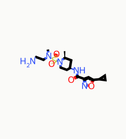 C[C@H]1C[C@@H](NC(=O)c2cc(C3CC3)on2)CCN1S(=O)(=O)N(C)CCN